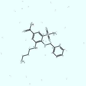 CCCCNc1cc(C(=O)O)cc(S(N)(=O)=O)c1OCc1ccccn1